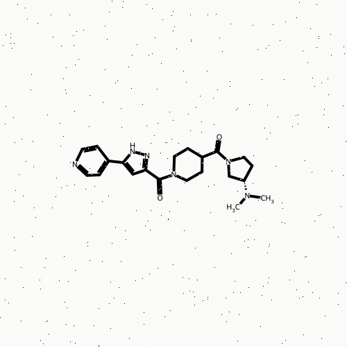 CN(C)[C@H]1CCN(C(=O)C2CCN(C(=O)c3cc(-c4ccncc4)[nH]n3)CC2)C1